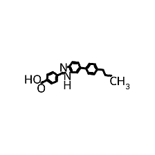 CCCCc1ccc(-c2ccc3nc(-c4ccc(C(=O)O)cc4)[nH]c3c2)cc1